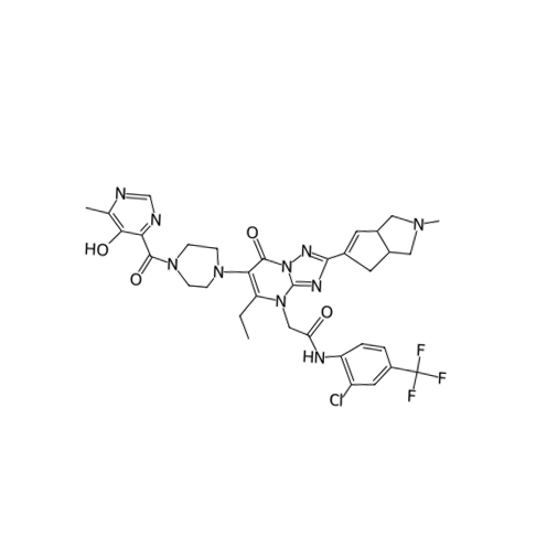 CCc1c(N2CCN(C(=O)c3ncnc(C)c3O)CC2)c(=O)n2nc(C3=CC4CN(C)CC4C3)nc2n1CC(=O)Nc1ccc(C(F)(F)F)cc1Cl